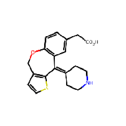 O=C(O)Cc1ccc2c(c1)C(=C1CCNCC1)c1sccc1CO2